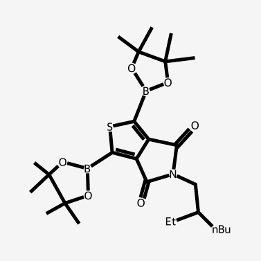 CCCCC(CC)CN1C(=O)c2c(B3OC(C)(C)C(C)(C)O3)sc(B3OC(C)(C)C(C)(C)O3)c2C1=O